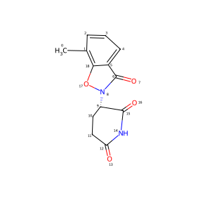 Cc1cccc2c(=O)n([C@H]3CCC(=O)NC3=O)oc12